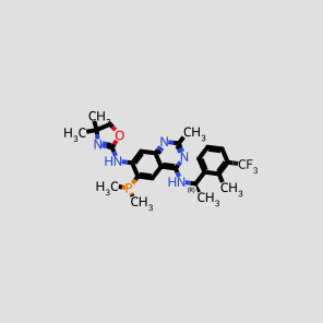 Cc1nc(N[C@H](C)c2cccc(C(F)(F)F)c2C)c2cc(P(C)C)c(NC3=NC(C)(C)CO3)cc2n1